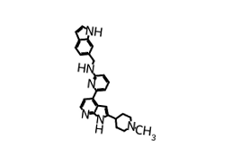 CN1CCC(c2cc3c(-c4cccc(NCc5ccc6cc[nH]c6c5)n4)ccnc3[nH]2)CC1